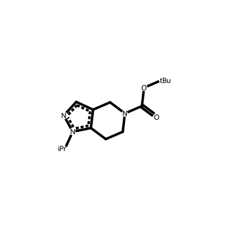 CC(C)n1ncc2c1CCN(C(=O)OC(C)(C)C)C2